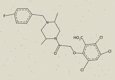 CC1CN(C(=O)COc2c(Cl)cc(Cl)c(Cl)c2C(=O)O)C(C)CN1Cc1ccc(F)cc1